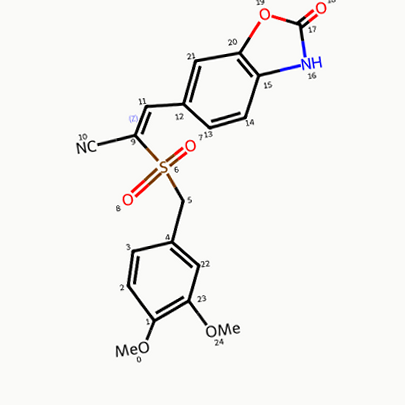 COc1ccc(CS(=O)(=O)/C(C#N)=C\c2ccc3[nH]c(=O)oc3c2)cc1OC